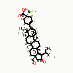 CC(C)C1=C2[C@H]3CC[C@@H]4[C@@]5(C)CC=C(C6=CC[C@](CF)(C(=O)O)CC6)C(C)(C)[C@@H]5CC[C@@]4(C)[C@]3(C)CC[C@@]2(C=O)CC1=O